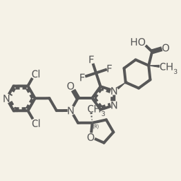 C[C@]1(CN(CCc2c(Cl)cncc2Cl)C(=O)c2cnn([C@H]3CC[C@](C)(C(=O)O)CC3)c2C(F)(F)F)CCCO1